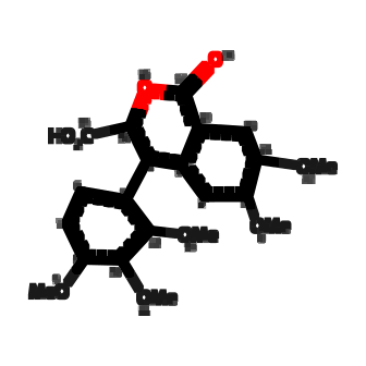 COc1cc2c(-c3ccc(OC)c(OC)c3OC)c(C(=O)O)oc(=O)c2cc1OC